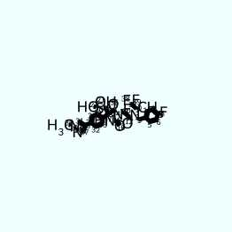 C[C@H](N(Cc1ccc(F)cc1)C(=O)CN1C(=O)NC2(CS(O)(O)c3cc(-c4cnn(C)c4)ccc32)C1=O)C(F)(F)F